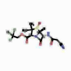 CC1(C)[C@H](C(=O)OCC(Cl)(Cl)Cl)N2C(=O)[C@@H](NC(=O)CC#N)[C@H]2[S+]1[O-]